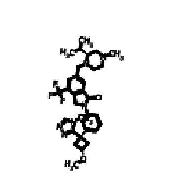 CO[C@H]1C[C@](c2cccc(N3Cc4c(cc(CN5CCN(C)C[C@@H]5C(C)C)cc4C(F)(F)F)C3=O)c2)(c2nncn2C)C1